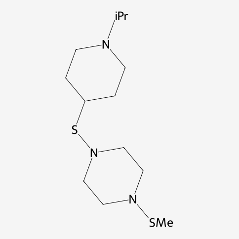 CSN1CCN(SC2CCN(C(C)C)CC2)CC1